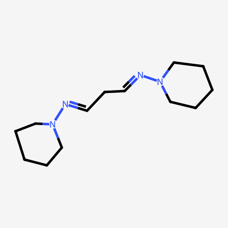 C(CC=NN1CCCCC1)=NN1CCCCC1